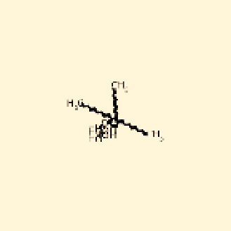 CCCCCCCCCc1ccc(OP(O)O)c(CCCCCCCCC)c1CCCCCCCCC.OP(O)O